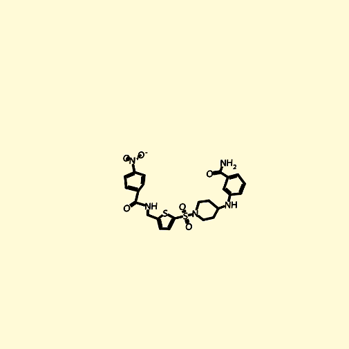 NC(=O)c1cccc(NC2CCN(S(=O)(=O)c3ccc(CNC(=O)c4ccc([N+](=O)[O-])cc4)s3)CC2)c1